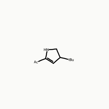 CC(=O)C1=CC(C(C)(C)C)CN1